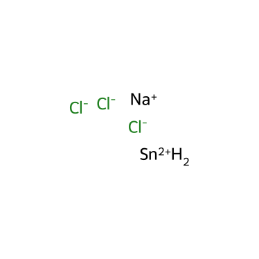 [Cl-].[Cl-].[Cl-].[Na+].[SnH2+2]